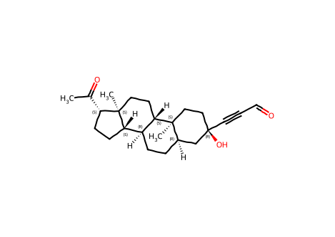 CC(=O)[C@H]1CC[C@H]2[C@@H]3CC[C@@H]4C[C@@](O)(C#CC=O)CC[C@]4(C)[C@H]3CC[C@]12C